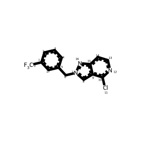 FC(F)(F)c1cccc(Cn2cc3c(Cl)nccc3n2)c1